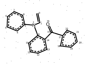 C=CN(c1ccccc1)c1ccccc1C(=O)c1ccccc1